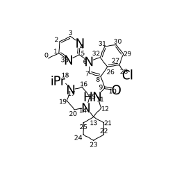 Cc1ccnc(-n2cc(C(=O)NCC3(N4CCN(C(C)C)CC4)CCCCC3)c3c(Cl)cccc32)n1